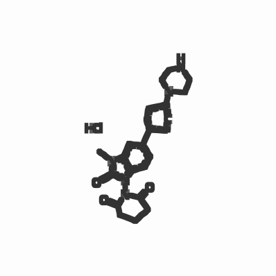 Cl.Cn1c(=O)n(N2C(=O)CCCC2=O)c2ccc(-c3ccc(N4CCNCC4)cc3)cc21